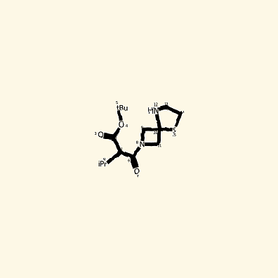 CC(C)C(C(=O)OC(C)(C)C)C(=O)N1CC2(C1)NCCS2